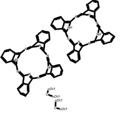 CCCCCCCCOCCCCCCCC.CCCCCCCCOCCCCCCCC.c1ccc2c(c1)-c1nc-2nc2[nH]c(nc3nc(nc4[nH]c(n1)c1ccccc41)-c1ccccc1-3)c1ccccc21.c1ccc2c(c1)-c1nc-2nc2[nH]c(nc3nc(nc4[nH]c(n1)c1ccccc41)-c1ccccc1-3)c1ccccc21